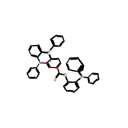 O=C(CCC(=O)N(c1ccccc1)c1ccccc1P(c1ccccc1)c1ccccc1)Oc1ccccc1P(c1ccccc1)c1ccccc1